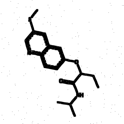 CCC(Oc1ccc2ncc(SC)cc2c1)C(=O)NC(C)C